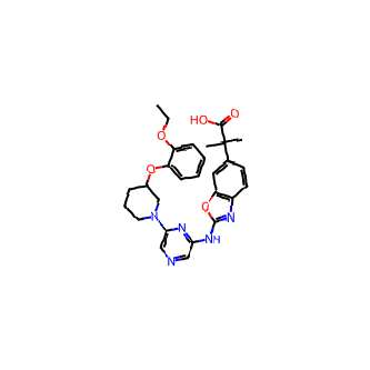 CCOc1ccccc1OC1CCCN(c2cncc(Nc3nc4ccc(C(C)(C)C(=O)O)cc4o3)n2)C1